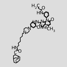 C=CC(=O)Nc1cccc(-n2c(=O)cc(C)c3cnc(Nc4ccc(N5CCN(CCCCCCNC(=O)CC6CC7CC8CCC6C(C8)C7)CC5)cc4OC)nc32)c1